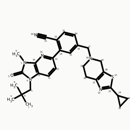 Cn1c(=O)n(CC(C)(C)C)c2ccc(-c3cc(CN4CCc5nc(C6CC6)sc5C4)ccc3C#N)nc21